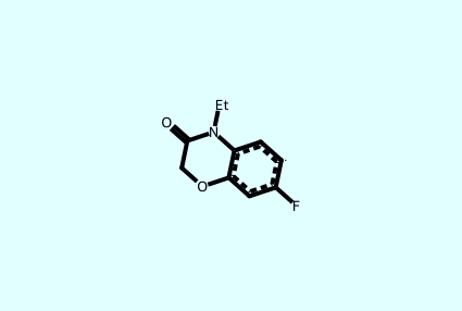 CCN1C(=O)COc2cc(F)[c]cc21